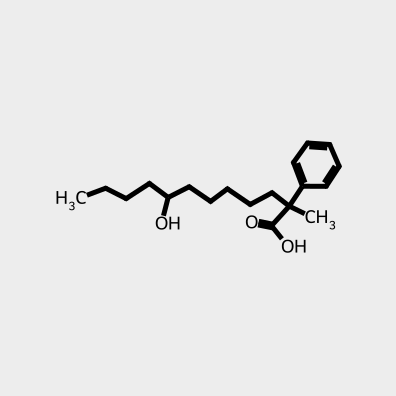 CCCCC(O)CCCCCC(C)(C(=O)O)c1ccccc1